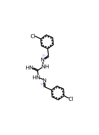 N=C(N/N=C/c1ccc(Cl)cc1)N/N=C/c1cccc(Cl)c1